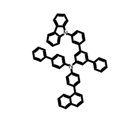 c1ccc(-c2ccc(N(c3ccc(-c4cccc5ccccc45)cc3)c3cc(-c4ccccc4)cc(-c4cccc(-n5c6ccccc6c6ccccc65)c4)c3)cc2)cc1